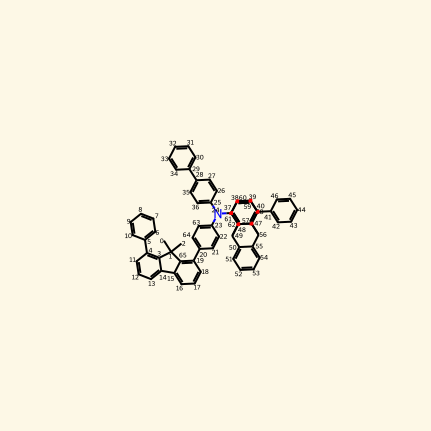 CC1(C)c2c(-c3ccccc3)cccc2-c2cccc(-c3ccc(N(c4ccc(-c5ccccc5)cc4)c4ccc(-c5ccccc5)c5c4C4c6ccccc6C5c5ccccc54)cc3)c21